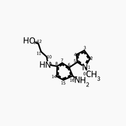 Cn1cccc1-c1cc(NCCCO)ccc1N